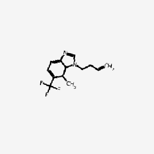 C=CCCN1C=NC2=CC=C(C(F)(F)F)C(C)C21